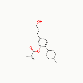 C=C(C)C(=O)Oc1cc(CCCO)ccc1C1CCC(C)CC1